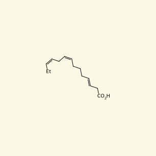 CC/C=C\C/C=C\CCC/C=C/CC(=O)O